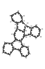 c1ccc2c(c1)c1ccccc1c1c2cc2c3ccccc3n3c4ccccc4c1c23